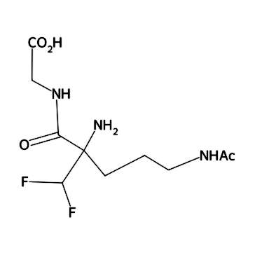 CC(=O)NCCCC(N)(C(=O)NCC(=O)O)C(F)F